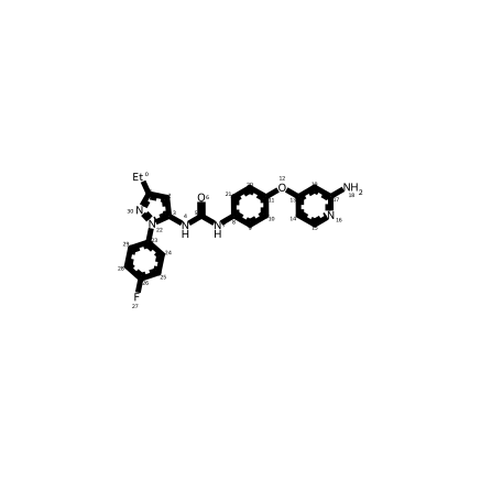 CCc1cc(NC(=O)Nc2ccc(Oc3ccnc(N)c3)cc2)n(-c2ccc(F)cc2)n1